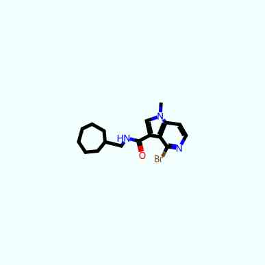 Cn1cc(C(=O)NCC2CCCCCC2)c2c(Br)nccc21